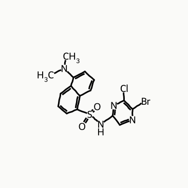 CN(C)c1cccc2c(S(=O)(=O)Nc3cnc(Br)c(Cl)n3)cccc12